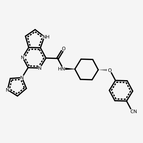 N#Cc1ccc(O[C@H]2CC[C@H](NC(=O)c3nc(-n4ccnc4)nc4cc[nH]c34)CC2)cc1